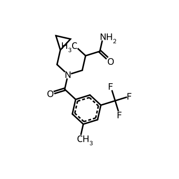 Cc1cc(C(=O)N(CC2CC2)CC(C)C(N)=O)cc(C(F)(F)F)c1